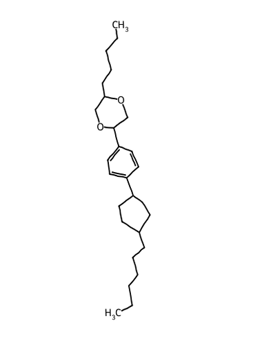 CCCCCCC1CCC(c2ccc(C3COC(CCCCC)CO3)cc2)CC1